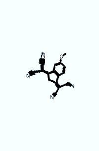 COc1ccc2c(c1)C(=C(C#N)C#N)CC2=C(C#N)C#N